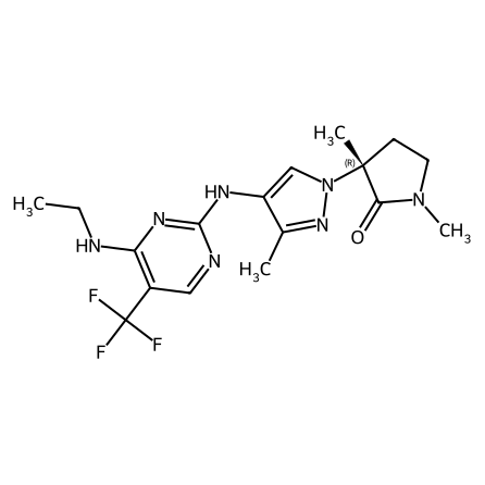 CCNc1nc(Nc2cn([C@]3(C)CCN(C)C3=O)nc2C)ncc1C(F)(F)F